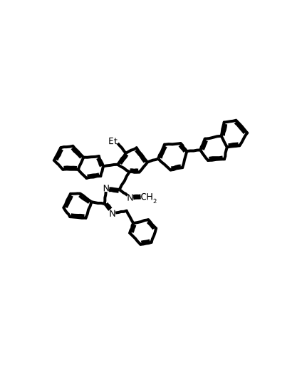 C=N/C(=N\C(=N/Cc1ccccc1)c1ccccc1)c1cc(-c2ccc(-c3ccc4ccccc4c3)cc2)cc(CC)c1-c1ccc2ccccc2c1